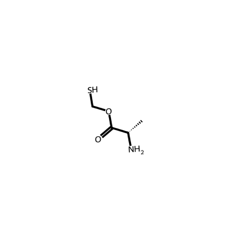 C[C@H](N)C(=O)OCS